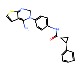 NC1=c2ccsc2=NCN1c1ccc(NC(=O)[C@@H]2C[C@H]2c2ccccc2)cc1